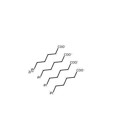 CC(C)CCCCC(=O)[O-].CC(C)CCCCC(=O)[O-].CC(C)CCCCC(=O)[O-].CC(C)CCCCC(=O)[O-].[Zr+4]